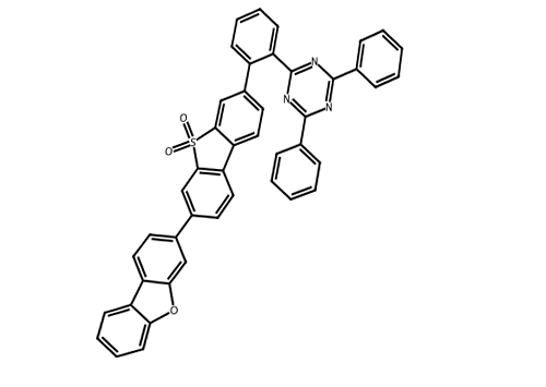 O=S1(=O)c2cc(-c3ccc4c(c3)oc3ccccc34)ccc2-c2ccc(-c3ccccc3-c3nc(-c4ccccc4)nc(-c4ccccc4)n3)cc21